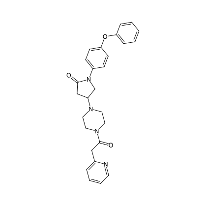 O=C(Cc1ccccn1)N1CCN(C2CC(=O)N(c3ccc(Oc4ccccc4)cc3)C2)CC1